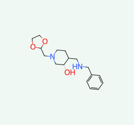 O[C@@H]1CN(CC2OCCO2)CCC1CNCc1ccccc1